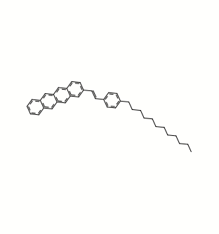 CCCCCCCCCCCCc1ccc(C=Cc2ccc3cc4cc5ccccc5cc4cc3c2)cc1